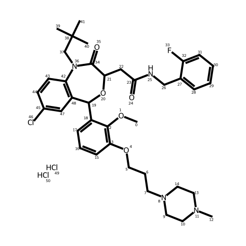 COc1c(OCCCN2CCN(C)CC2)cccc1C1OC(CC(=O)NCc2ccccc2F)C(=O)N(CC(C)(C)C)c2ccc(Cl)cc21.Cl.Cl